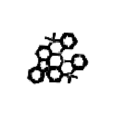 C[Si]1(C)c2ccccc2B(N2c3ccccc3[Si](C)(C)c3ccc4c(oc5ccccc54)c32)c2ccccc21